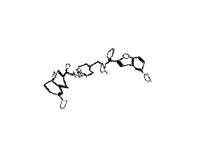 O=C(NN1CCC(CNC(=O)c2cc3cc(Cl)ccc3o2)CC1)c1cnc2ccc(Cl)cc2c1